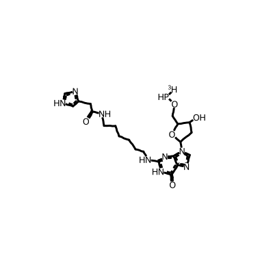 [3H]POCC1OC(n2cnc3c(=O)[nH]c(NCCCCCCNC(=O)Cc4c[nH]cn4)nc32)CC1O